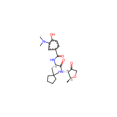 C[C@@H]1OCC(=O)[C@H]1NC(=O)[C@H](CC1(C)CCCC1)NC(=O)c1ccc(O)c(N(C)C)c1